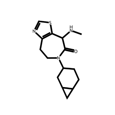 CNC1C(=O)N(C2CCC3CC3C2)CCc2ncsc21